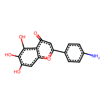 Nc1ccc(-c2cc(=O)c3c(O)c(O)c(O)cc3o2)cc1